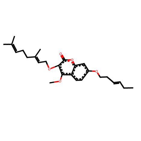 CCC=CCCOc1ccc2c(OC)c(OC/C=C(\C)CCC=C(C)C)c(=O)oc2c1